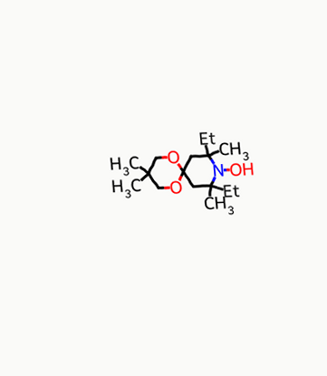 CCC1(C)CC2(CC(C)(CC)N1O)OCC(C)(C)CO2